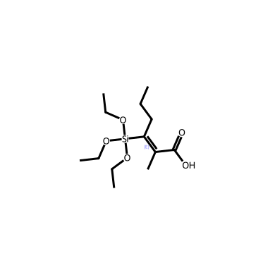 CCC/C(=C(/C)C(=O)O)[Si](OCC)(OCC)OCC